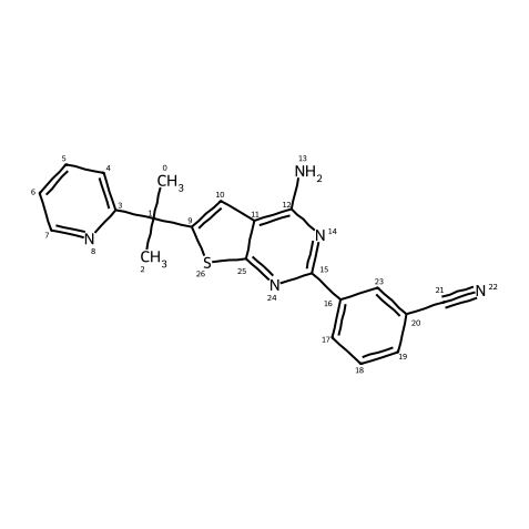 CC(C)(c1ccccn1)c1cc2c(N)nc(-c3cccc(C#N)c3)nc2s1